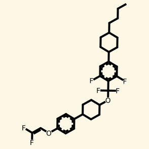 CCCCC1CCC(c2cc(F)c(C(F)(F)OC3CCC(c4ccc(OC=C(F)F)cc4)CC3)c(F)c2)CC1